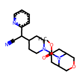 COC(=O)N1C2COCC1CC(N1CCC(C(C#N)c3ccccn3)CC1)C2